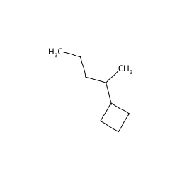 CCCC(C)[C]1CCC1